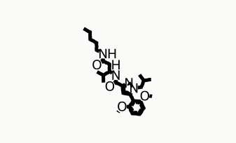 CCCCCNC(=O)CC(NC(=O)c1cc(-c2c(OC)cccc2OC)n(CC(C)C)n1)C(C)C